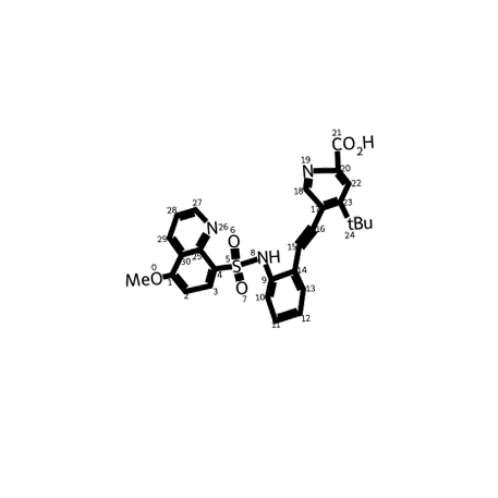 COc1ccc(S(=O)(=O)Nc2ccccc2C#Cc2cnc(C(=O)O)cc2C(C)(C)C)c2ncccc12